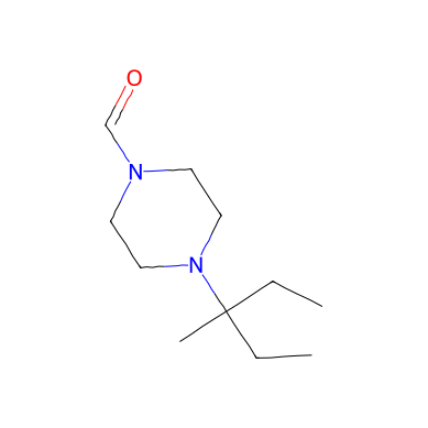 CCC(C)(CC)N1CCN(C=O)CC1